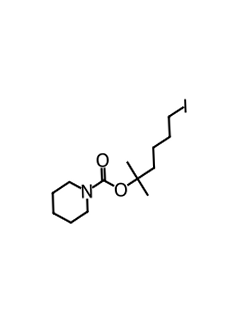 CC(C)(CCCCI)OC(=O)N1CCCCC1